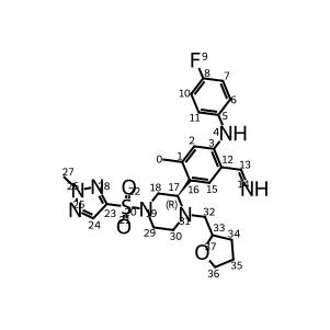 Cc1cc(Nc2ccc(F)cc2)c(C=N)cc1[C@@H]1CN(S(=O)(=O)c2cnn(C)n2)CCN1CC1CCCO1